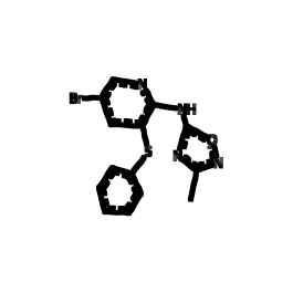 Cc1noc(Nc2ncc(Br)cc2Sc2ccccc2)n1